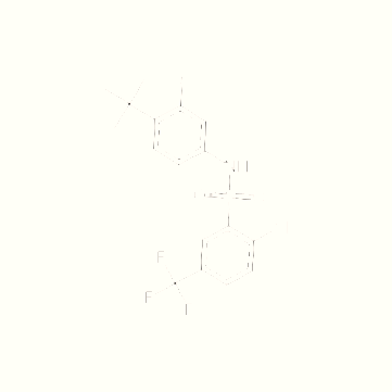 Cc1cc(NS(=O)(=O)c2cc(C(F)(F)F)ccc2Cl)ccc1C(C)(C)C